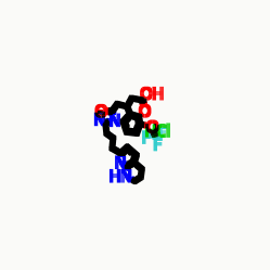 Cl.O=C(O)CC(Cc1nc(CCCc2ccc3c(n2)NCCC3)no1)c1cccc(OC(F)(F)F)c1